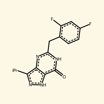 CC(C)c1n[nH]c2c(=O)[nH]c(Cc3ccc(F)cc3F)nc12